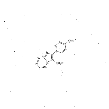 CCOC(=O)c1c(-c2ccc(OC)cc2)nc2ccccn12